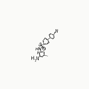 Cc1cc(N)nc(NS(=O)(=O)c2ccc(-c3ccc(C#N)cc3)cc2)c1